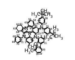 Cc1cc2c3c(c1)N(c1cccc4c1oc1c(C)cccc14)c1cc(N(c4ccc(C(C)(C)C)cc4)c4ccc(C(C)(C)C)cc4)ccc1B3c1c(c3c(n1-c1ccccc1)CCCC3)N2c1ccccc1